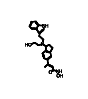 CC(=CC(=O)NO)c1ccc2c(c1)CCC2N(CCO)CCc1c[nH]c2ccccc12